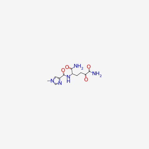 Cn1cnc(C(=O)NC(CCC(=O)C(N)=O)C(N)=O)c1